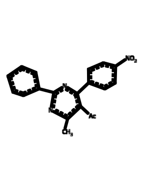 CC(=O)c1c(C)nc(-c2ccccc2)nc1-c1ccc([N+](=O)[O-])cc1